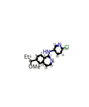 CC[C@@H](OC)c1ccc2c(Nc3ccc(Cl)nc3)nccc2c1